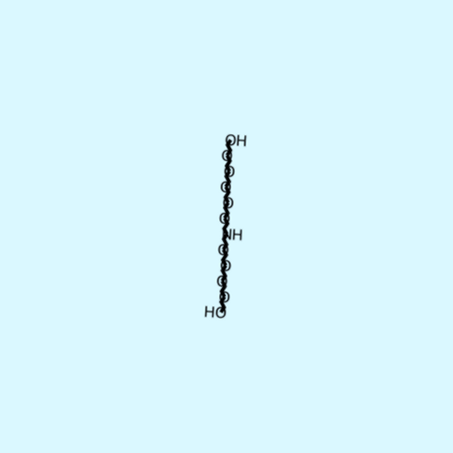 OCCOCCOCCOCCOCCNCCOCCOCCOCCOCCOCCO